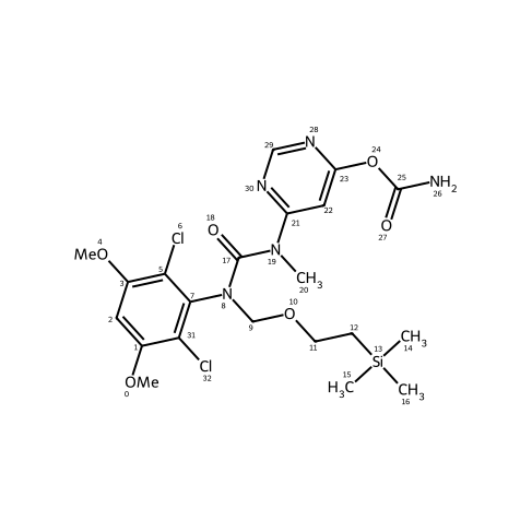 COc1cc(OC)c(Cl)c(N(COCC[Si](C)(C)C)C(=O)N(C)c2cc(OC(N)=O)ncn2)c1Cl